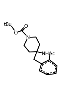 CC(=O)NC1(Cc2ccccc2C)CCN(C(=O)OC(C)(C)C)CC1